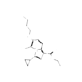 CCCCOc1ccc2c(C(=O)OCC)cc(C3CC3)n2c1Cl